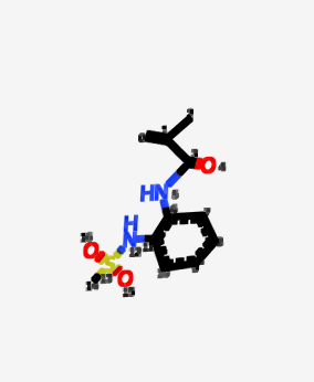 C=C(C)C(=O)Nc1cc[c]cc1NS(C)(=O)=O